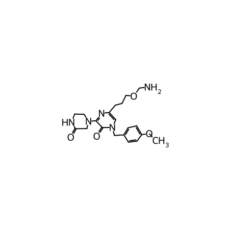 COc1ccc(Cn2cc(CCCOCN)nc(N3CCNC(=O)C3)c2=O)cc1